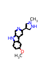 COc1ccc2[nH]c3cnc(C4=CN(C)NC4)cc3c2c1